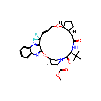 COC(=O)[C@@H]1C[C@]2(C)CN1C(=O)[C@H](C(C)(C)C)NC(=O)C[C@@H]1CCC[C@H]1OC/C=C/C(F)(F)c1nc3ccccc3nc1O2